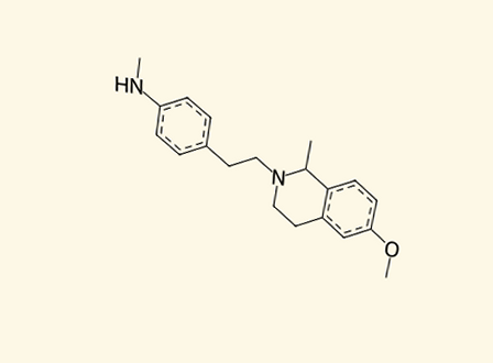 CNc1ccc(CCN2CCc3cc(OC)ccc3C2C)cc1